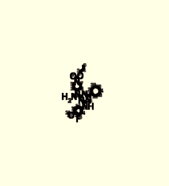 CCCOC(=O)N1CCC(N(N)c2nc(Nc3ccc(OC)c(F)c3)nc(C3CCCCCC3)n2)CC1